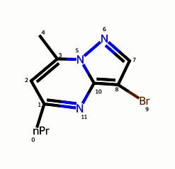 CCCc1cc(C)n2ncc(Br)c2n1